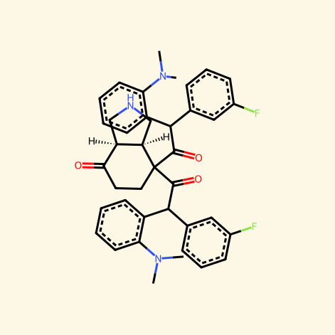 CN(C)c1ccccc1C(C(=O)C1(C(=O)C(c2cccc(F)c2)c2ccccc2N(C)C)CCC(=O)[C@H]2CNC[C@H]21)c1cccc(F)c1